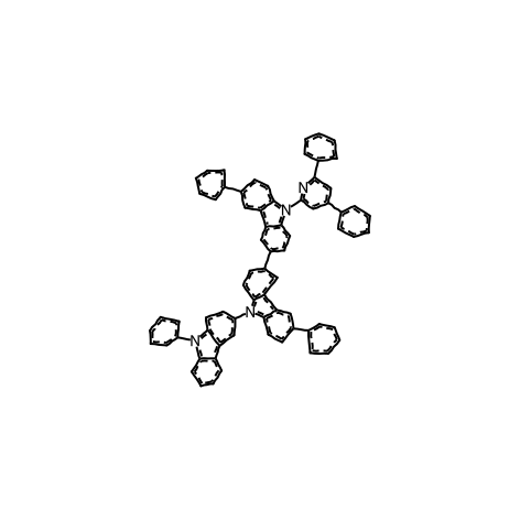 c1ccc(-c2cc(-c3ccccc3)nc(-n3c4ccc(-c5ccccc5)cc4c4cc(-c5ccc6c(c5)c5cc(-c7ccccc7)ccc5n6-c5ccc6c(c5)c5ccccc5n6-c5ccccc5)ccc43)c2)cc1